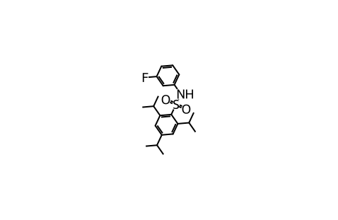 CC(C)c1cc(C(C)C)c(S(=O)(=O)Nc2cccc(F)c2)c(C(C)C)c1